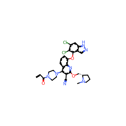 C=CC(=O)N1CCN(c2c(C#N)c(OC[C@@H]3CCCN3C)nc3c(Oc4c(Cl)c(Cl)cc5[nH]ncc45)cccc23)CC1